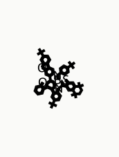 CC(C)(C)c1ccc(N2B3c4sc5cc6c(cc5c4-n4c5ccc(C(C)(C)C)cc5c5c7c(oc8ccccc87)c(c3c54)-c3cc4oc5cc(C(C)(C)C)ccc5c4cc32)C(C)(C)CCC6(C)C)cc1